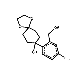 OCc1cc(C(F)(F)F)ccc1C1(O)CCC2(CC1)OCCO2